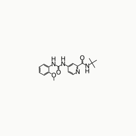 COc1ccccc1NC(=O)Nc1ccnc(C(=O)NC(C)(C)C)c1